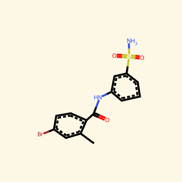 Cc1cc(Br)ccc1C(=O)Nc1cccc(S(N)(=O)=O)c1